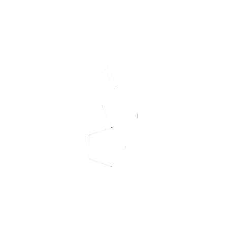 C=CCC1(O)CCCC1